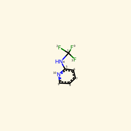 FC(F)(F)Nc1ccccn1